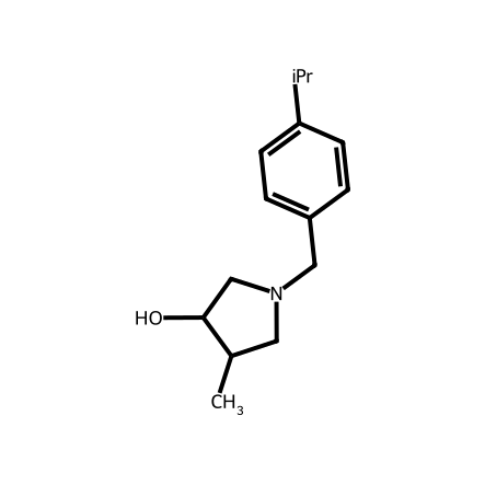 CC(C)c1ccc(CN2CC(C)C(O)C2)cc1